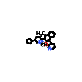 Cc1c(-c2ccc(C3CCCC3)c[n+]2C)c2oc3ncccc3c2c2ccccc12